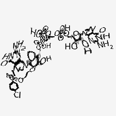 COCCO[C@@H]1[C@H](O)[C@@H](COP(=O)(O)OCC(COP(=O)(O)OC[C@H]2O[C@@H](n3cnc4c(=O)[nH]c(N)nc43)[C@H](O)[C@@H]2O)OP(=O)(O)O)O[C@H]1N1CN(CCOc2ccc(Cl)cc2)c2c1nc(N)[nH]c2=O